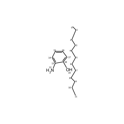 CCCCCCCCCCCC.Nc1ccccc1O